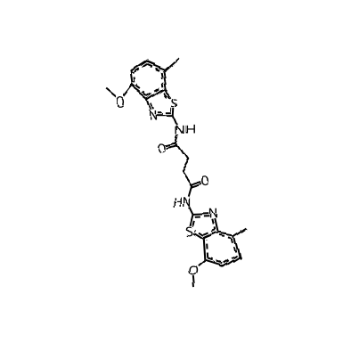 COc1ccc(C)c2sc(NC(=O)CCC(=O)Nc3nc4c(C)ccc(OC)c4s3)nc12